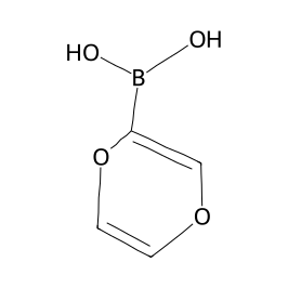 OB(O)C1=COC=CO1